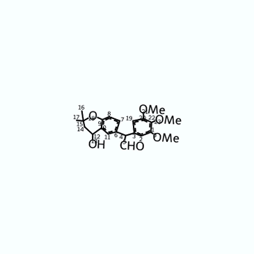 COc1cc(C(C=O)c2ccc3c(c2)C(O)CC(C)(C)O3)cc(OC)c1OC